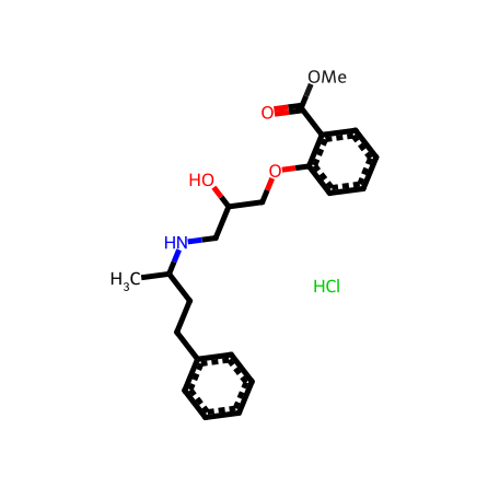 COC(=O)c1ccccc1OCC(O)CNC(C)CCc1ccccc1.Cl